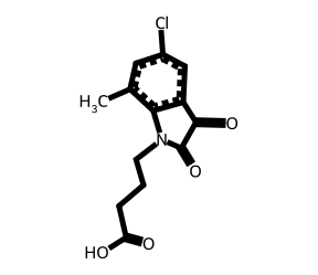 Cc1cc(Cl)cc2c1N(CCCC(=O)O)C(=O)C2=O